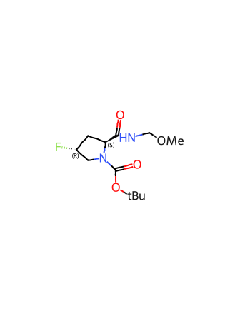 COCNC(=O)[C@@H]1C[C@@H](F)CN1C(=O)OC(C)(C)C